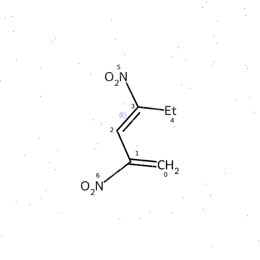 C=C(/C=C(\CC)[N+](=O)[O-])[N+](=O)[O-]